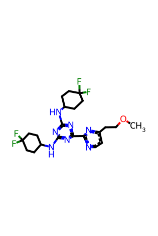 COCCc1ccnc(-c2nc(NC3CCC(F)(F)CC3)nc(NC3CCC(F)(F)CC3)n2)n1